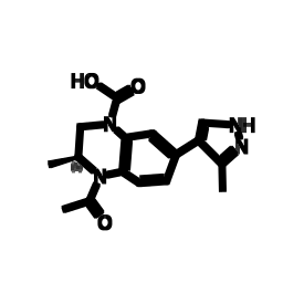 CC(=O)N1c2ccc(-c3c[nH]nc3C)cc2N(C(=O)O)C[C@@H]1C